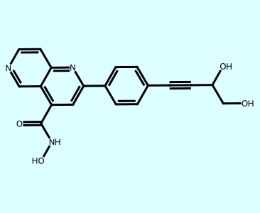 O=C(NO)c1cc(-c2ccc(C#CC(O)CO)cc2)nc2ccncc12